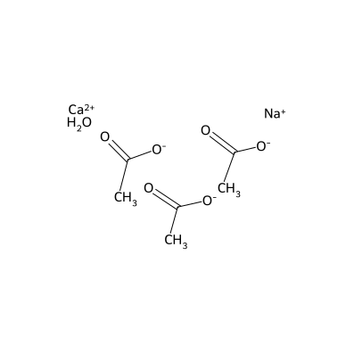 CC(=O)[O-].CC(=O)[O-].CC(=O)[O-].O.[Ca+2].[Na+]